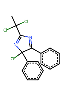 CC(Cl)(Cl)C1=NC(Cl)(c2ccccc2)C(c2ccccc2)=N1